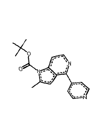 Cc1cc2c(-c3ccncc3)nccc2n1C(=O)OC(C)(C)C